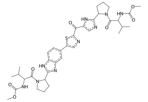 COC(=O)NC(C(=O)N1CCCC1c1ncc(C(=O)c2ncc(-c3ccc4[nH]c(C5CCCN5C(=O)C(NC(=O)OC)C(C)C)nc4c3)s2)[nH]1)C(C)C